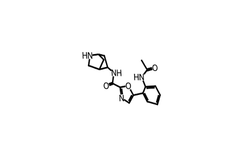 CC(=O)Nc1ccccc1-c1cnc(C(=O)NC2CC3CC2CN3)o1